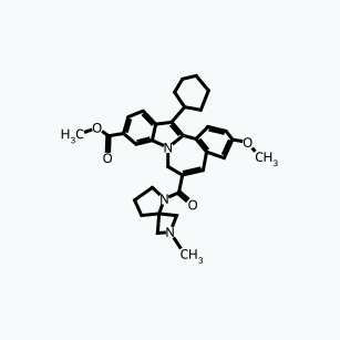 COC(=O)c1ccc2c(C3CCCCC3)c3n(c2c1)CC(C(=O)N1CCCC12CN(C)C2)=Cc1cc(OC)ccc1-3